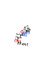 CCCCCOC(=O)c1cccc(NC(=O)NC23CC4CC(CC(C4)C2)C3)c1